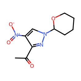 CC(=O)c1nn(C2CCCCO2)cc1[N+](=O)[O-]